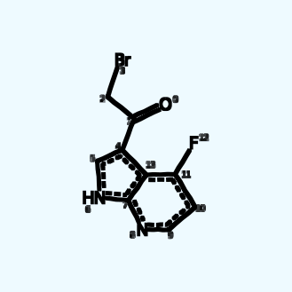 O=C(CBr)c1c[nH]c2nccc(F)c12